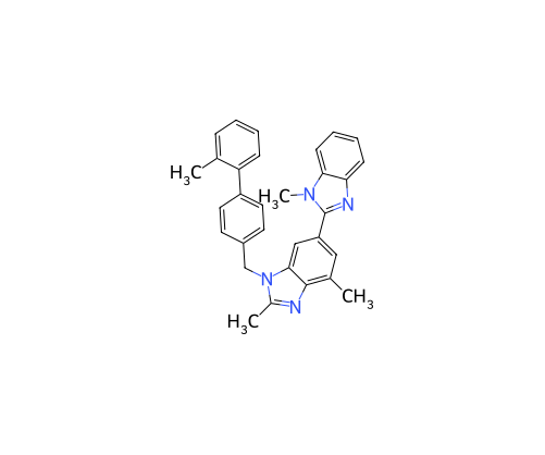 Cc1ccccc1-c1ccc(Cn2c(C)nc3c(C)cc(-c4nc5ccccc5n4C)cc32)cc1